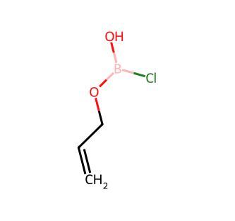 C=CCOB(O)Cl